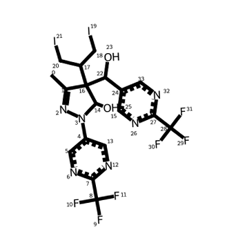 CC1=NN(c2cnc(C(F)(F)F)nc2)C(O)C1(C(CI)CI)C(O)c1cnc(C(F)(F)F)nc1